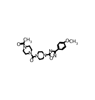 COc1ccc(-c2noc(N3CCN(C(=O)N4CCN(C(C)=O)CC4)CC3)n2)cc1